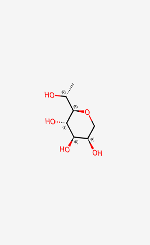 C[C@@H](O)[C@H]1OC[C@@H](O)[C@@H](O)[C@@H]1O